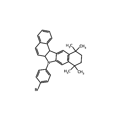 CC1(C)CCC(C)(C)c2cc3c(cc21)C1c2ccccc2C=CC1N3c1ccc(Br)cc1